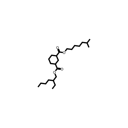 CCCCC(CC)COC(=O)C1CCCC(C(=O)OCCCCCC(C)C)C1